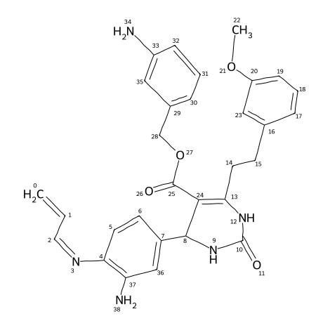 C=C/C=N\c1ccc(C2NC(=O)NC(CCc3cccc(OC)c3)=C2C(=O)OCc2cccc(N)c2)cc1N